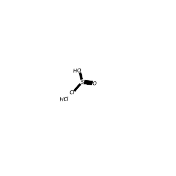 Cl.O=S(O)Cl